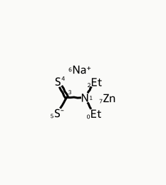 CCN(CC)C(=S)[S-].[Na+].[Zn]